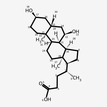 C[C@H](CCC(=O)O)[C@@H]1CC[C@@H]2[C@@H]3[C@H](O)C[C@H]4C[C@H](O)CC[C@]4(C)[C@@H]3CC[C@@]21C